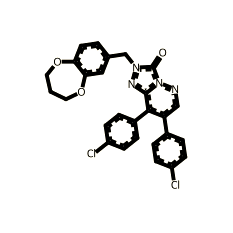 O=c1n(Cc2ccc3c(c2)OCCCO3)nc2c(-c3ccc(Cl)cc3)c(-c3ccc(Cl)cc3)cnn12